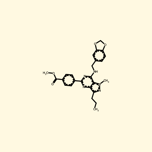 CCCc1nn(C)c2c(NCc3ccc4c(c3)OCO4)nc(-c3ccc(C(=O)OC)cc3)nc12